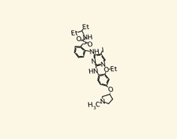 CCOc1cc(O[C@@H]2CCN(C)C2)ccc1Nc1ncc(I)c(Nc2ccccc2S(=O)(=O)NC(CC)CC)n1